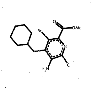 COC(=O)c1nc(Cl)c(N)c(CC2CCCCC2)c1Br